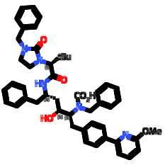 COc1cccc(-c2ccc(C[C@@H]([C@@H](O)C[C@H](Cc3ccccc3)NC(=O)[C@@H](N3CCN(Cc4ccccc4)C3=O)C(C)(C)C)N(Cc3ccccc3)C(=O)O)cc2)n1